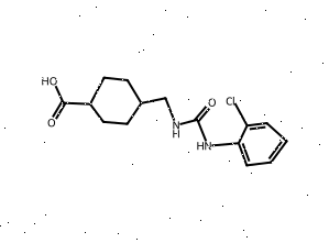 O=C(NCC1CCC(C(=O)O)CC1)Nc1ccccc1Cl